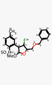 COC1OC(COCc2ccccc2)C(F)C1c1cc(C)ccc1S(=O)(=O)O